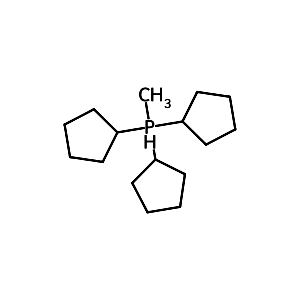 C[PH](C1CCCC1)(C1CCCC1)C1CCCC1